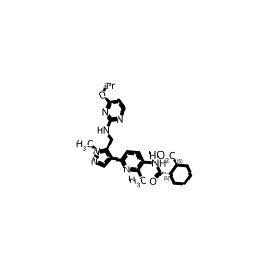 Cc1nc(-c2cnn(C)c2CNc2nccc(OC(C)C)n2)ccc1NC(=O)[C@H]1CCCC[C@@H]1C(=O)O